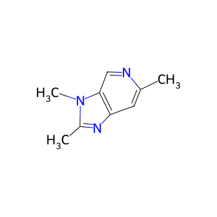 Cc1cc2nc(C)n(C)c2cn1